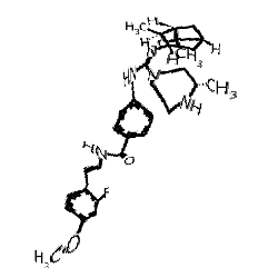 COc1ccc(CCNC(=O)c2ccc(N/C(=N/[C@H]3C[C@H]4C[C@@H]([C@@H]3C)C4(C)C)N3CCN[C@@H](C)C3)cc2)c(F)c1